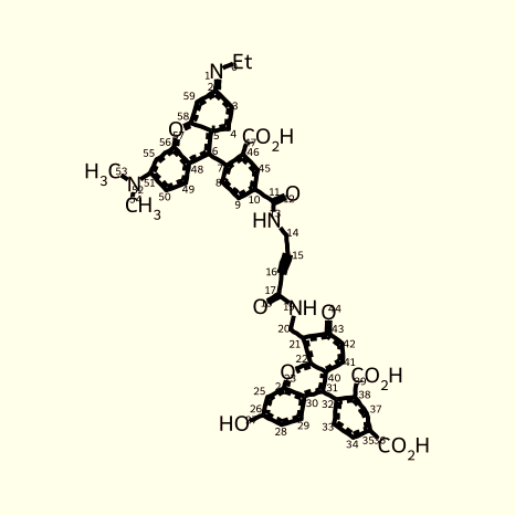 CC/N=c1\ccc2c(-c3ccc(C(=O)NCC#CC(=O)NCc4c5oc6cc(O)ccc6c(-c6ccc(C(=O)O)cc6C(=O)O)c-5ccc4=O)cc3C(=O)O)c3ccc(N(C)C)cc3oc-2c1